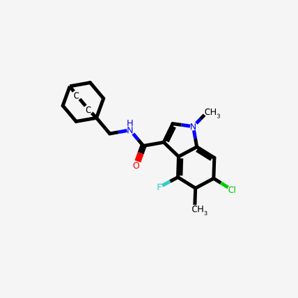 CC1C(F)=c2c(C(=O)NCC34CCC(CC3)CC4)cn(C)c2=CC1Cl